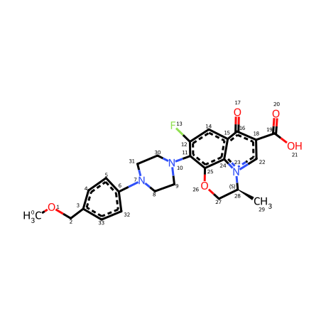 COCc1ccc(N2CCN(c3c(F)cc4c(=O)c(C(=O)O)cn5c4c3OC[C@@H]5C)CC2)cc1